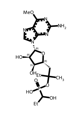 CCC(O)P(=O)(O)OC(C)(CC)C[C@H]1O[C@@H](n2cnc3c(OC)nc(N)nc32)[C@H](O)[C@@H]1O